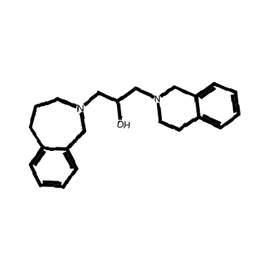 OC(CN1CCCc2ccccc2C1)CN1CCc2ccccc2C1